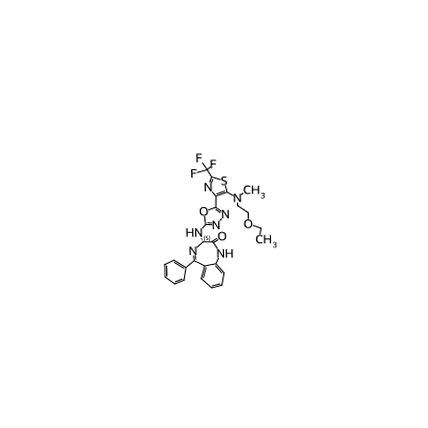 CCOCCN(C)c1sc(C(F)(F)F)nc1-c1nnc(N[C@H]2N=C(c3ccccc3)c3ccccc3NC2=O)o1